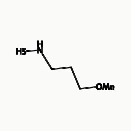 COCCCNS